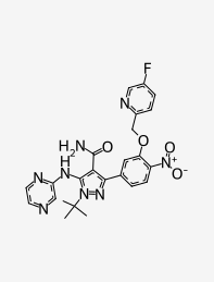 CC(C)(C)n1nc(-c2ccc([N+](=O)[O-])c(OCc3ccc(F)cn3)c2)c(C(N)=O)c1Nc1cnccn1